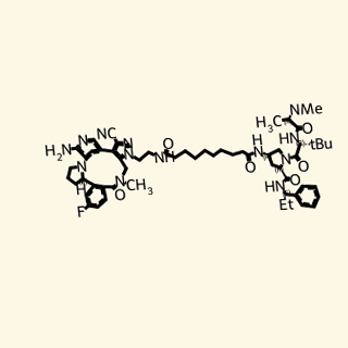 CC[C@H](NC(=O)[C@H]1C[C@@H](NC(=O)CCCCCCCCC(=O)NCCn2nc(C#N)c3c2CN(C)C(=O)c2ccc(F)cc2[C@H]2CCCN2c2cc-3cnc2N)CN1C(=O)[C@H](NC(=O)[C@@H](C)NC)C(C)(C)C)c1ccccc1